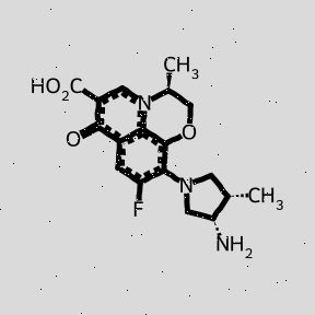 C[C@H]1CN(c2c(F)cc3c(=O)c(C(=O)O)cn4c3c2OC[C@@H]4C)C[C@H]1N